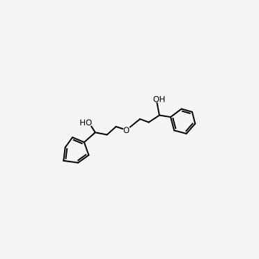 OC(CCOCCC(O)c1ccccc1)c1ccccc1